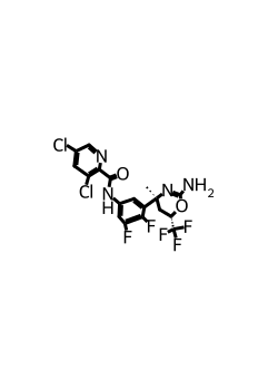 C[C@@]1(c2cc(NC(=O)c3ncc(Cl)cc3Cl)cc(F)c2F)C[C@@H](C(F)(F)F)OC(N)=N1